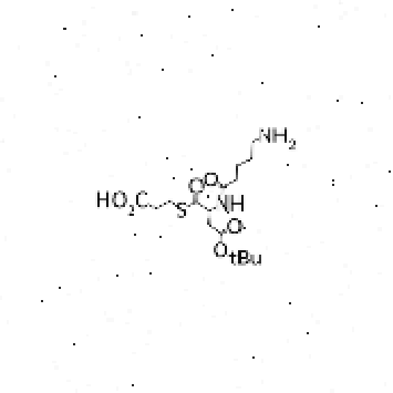 CC(C)(C)OC(=O)C[C@H](NC(=O)CCCCN)C(=O)SCCC(=O)O